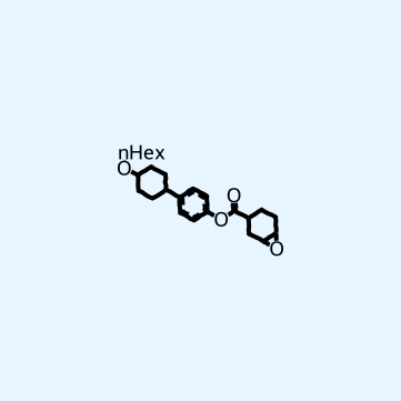 CCCCCCOC1CCC(c2ccc(OC(=O)C3CCC4OC4C3)cc2)CC1